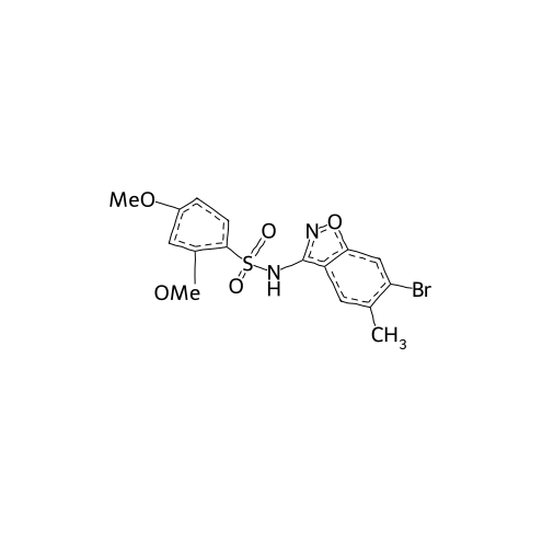 COc1ccc(S(=O)(=O)Nc2noc3cc(Br)c(C)cc23)c(OC)c1